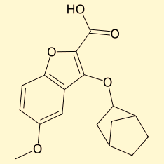 COc1ccc2oc(C(=O)O)c(OC3CC4CCC3C4)c2c1